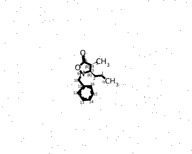 CCC[C@@H]1[C@@H](C)C(=O)ON1Cc1ccccc1